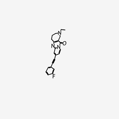 CCN1CCCc2nc3cc(C#Cc4cccc(F)c4)ccn3c(=O)c2C1